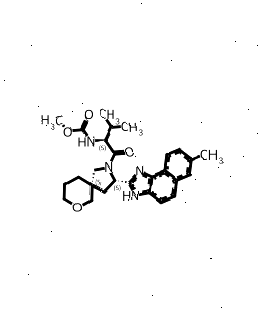 COC(=O)N[C@H](C(=O)N1C[C@]2(CCCOC2)C[C@H]1c1nc2c(ccc3cc(C)ccc32)[nH]1)C(C)C